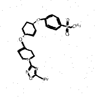 CC(C)c1nc(N2CCC(O[C@H]3CC[C@H](Oc4ccc(S(C)(=O)=O)cc4)CC3)CC2)no1